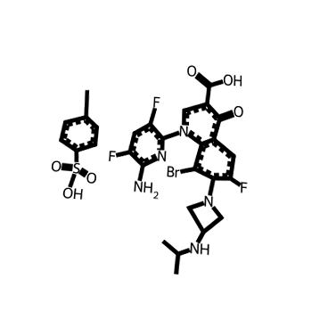 CC(C)NC1CN(c2c(F)cc3c(=O)c(C(=O)O)cn(-c4nc(N)c(F)cc4F)c3c2Br)C1.Cc1ccc(S(=O)(=O)O)cc1